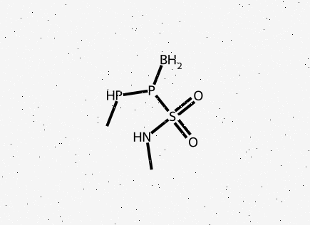 BP(PC)S(=O)(=O)NC